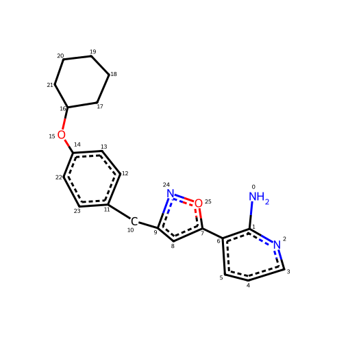 Nc1ncccc1-c1cc(Cc2ccc(OC3CCCCC3)cc2)no1